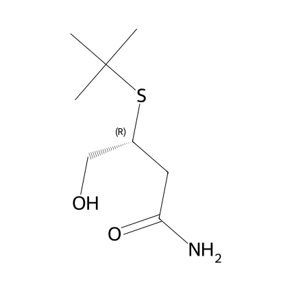 CC(C)(C)S[C@@H](CO)CC(N)=O